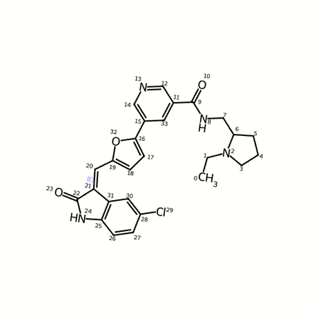 CCN1CCCC1CNC(=O)c1cncc(-c2ccc(/C=C3/C(=O)Nc4ccc(Cl)cc43)o2)c1